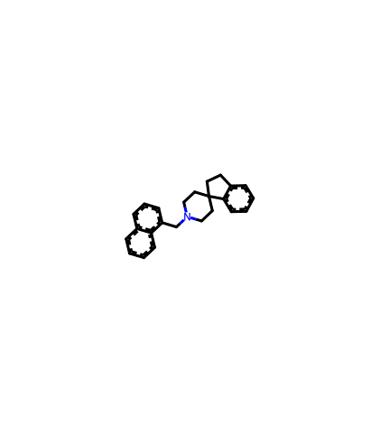 c1ccc2c(c1)CCC21CCN(Cc2cccc3ccccc23)CC1